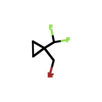 FC(F)C1(CBr)CC1